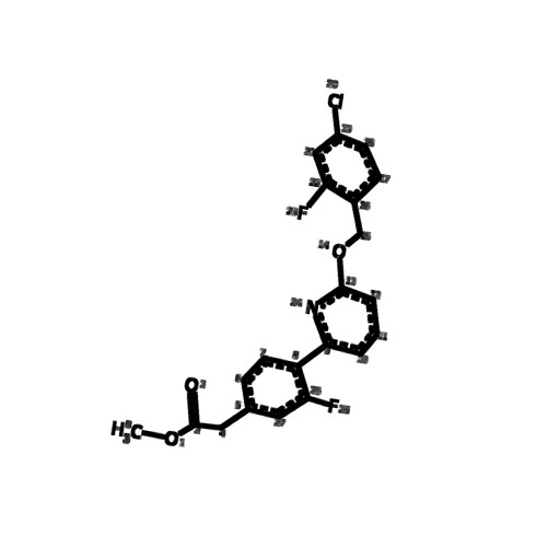 COC(=O)Cc1ccc(-c2cccc(OCc3ccc(Cl)cc3F)n2)c(F)c1